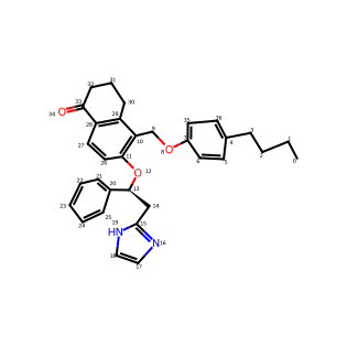 CCCCc1ccc(OCc2c(O[C@@H](Cc3ncc[nH]3)c3ccccc3)ccc3c2CCCC3=O)cc1